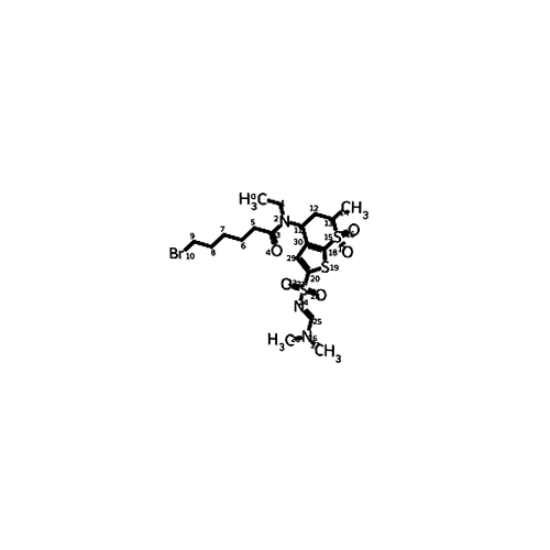 CCN(C(=O)CCCCCBr)C1CC(C)S(=O)(=O)c2sc(S(=O)(=O)/N=C/N(C)C)cc21